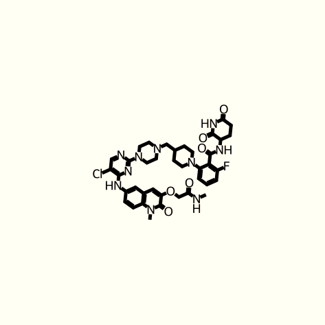 CNC(=O)COc1cc2cc(Nc3nc(N4CCN(CC5CCN(c6cccc(F)c6C(=O)NC6CCC(=O)NC6=O)CC5)CC4)ncc3Cl)ccc2n(C)c1=O